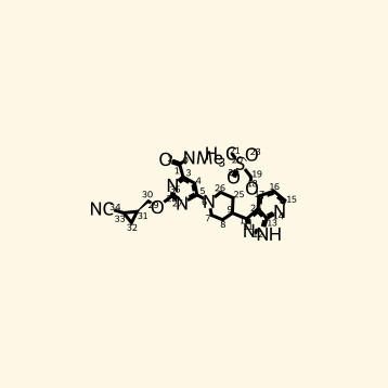 CNC(=O)c1cc(N2CCC(c3n[nH]c4nccc(OCS(C)(=O)=O)c34)CC2)nc(OC[C@H]2CC2C#N)n1